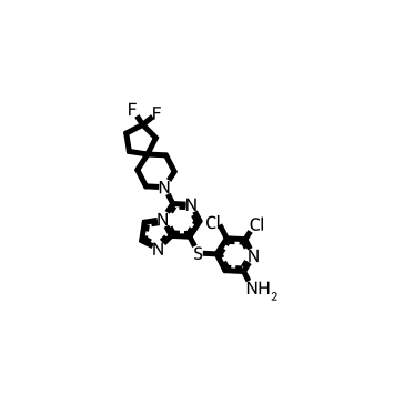 Nc1cc(Sc2cnc(N3CCC4(CC3)CCC(F)(F)C4)n3ccnc23)c(Cl)c(Cl)n1